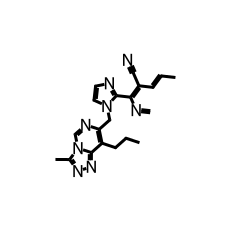 C=NC(=C(C#N)C=CC)c1nccn1Cc1ncn2c(C)nnc2c1CCC